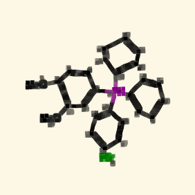 Br.COc1ccc([PH](c2ccccc2)(c2ccccc2)c2ccccc2)cc1OC